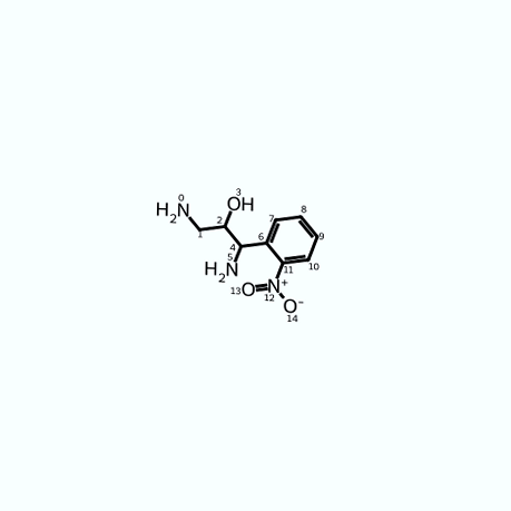 NCC(O)C(N)c1ccccc1[N+](=O)[O-]